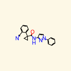 N#Cc1ccccc1C1(C(=O)Nc2ccn(-c3ccccc3)n2)CC1